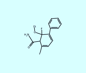 CCOC1(F)C(c2ccccc2)=CC=C(F)C1C(N)=O